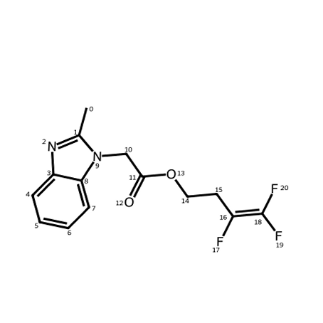 Cc1nc2ccccc2n1CC(=O)OCCC(F)=C(F)F